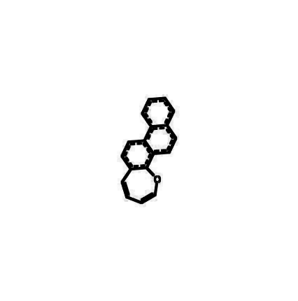 C1=COc2c(ccc3c2ccc2ccccc23)C=C1